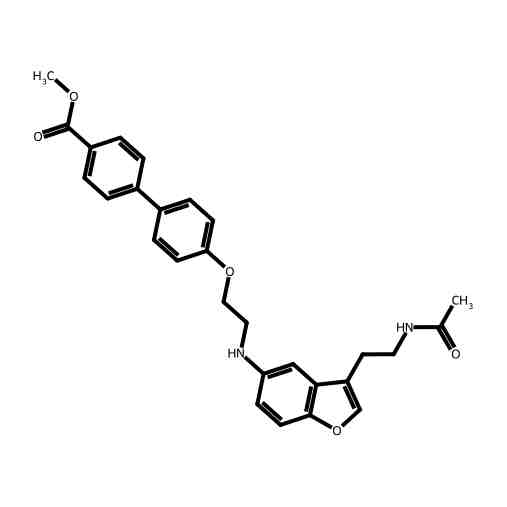 COC(=O)c1ccc(-c2ccc(OCCNc3ccc4occ(CCNC(C)=O)c4c3)cc2)cc1